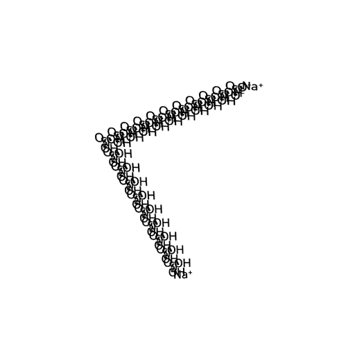 O=[Si](O)O.O=[Si](O)O.O=[Si](O)O.O=[Si](O)O.O=[Si](O)O.O=[Si](O)O.O=[Si](O)O.O=[Si](O)O.O=[Si](O)O.O=[Si](O)O.O=[Si](O)O.O=[Si](O)O.O=[Si](O)O.O=[Si](O)O.O=[Si](O)O.O=[Si](O)O.O=[Si](O)O.O=[Si](O)O.O=[Si](O)O.O=[Si]([O-])[O-].[Na+].[Na+]